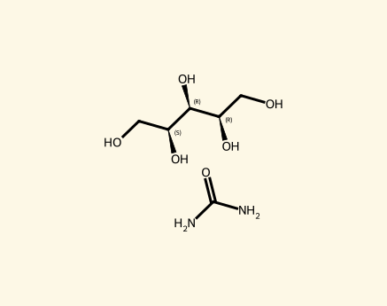 NC(N)=O.OC[C@@H](O)[C@H](O)[C@@H](O)CO